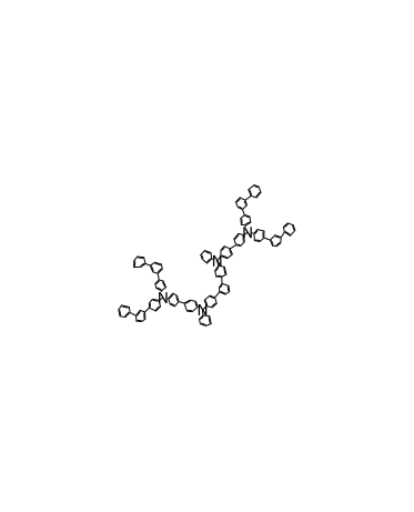 c1ccc(-c2cccc(-c3ccc(N(c4ccc(-c5ccc(N(c6ccccc6)c6ccc(-c7cccc(-c8ccc(N(c9ccccc9)c9ccc(-c%10ccc(N(c%11ccc(-c%12cccc(-c%13ccccc%13)c%12)cc%11)c%11ccc(-c%12cccc(-c%13ccccc%13)c%12)cc%11)cc%10)cc9)cc8)c7)cc6)cc5)cc4)c4ccc(-c5cccc(-c6ccccc6)c5)cc4)cc3)c2)cc1